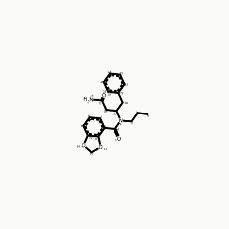 CCCN(C(=O)c1cccc2c1OCO2)C(CC(N)=O)Cc1ccccc1